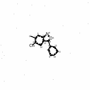 Cc1cc2noc(-c3ccccc3)c2cc1Cl